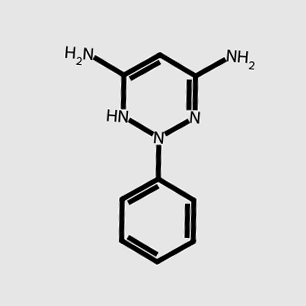 NC1=CC(N)=NN(c2ccccc2)N1